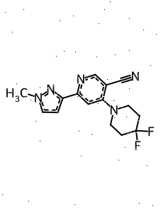 Cn1ccc(-c2cc(N3CCC(F)(F)CC3)c(C#N)cn2)n1